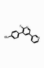 CC(C)(C)c1ccc(-c2cc(-c3cccnc3)cnc2F)cc1